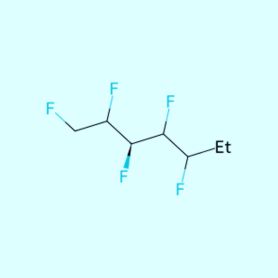 [CH2]CC(F)C(F)[C@@H](F)C(F)CF